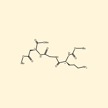 COC(=O)[C@H](CC(=O)OC(C)(C)C)NC(=O)CNC(=O)[C@H](CCCN)NC(=O)OC(C)(C)C